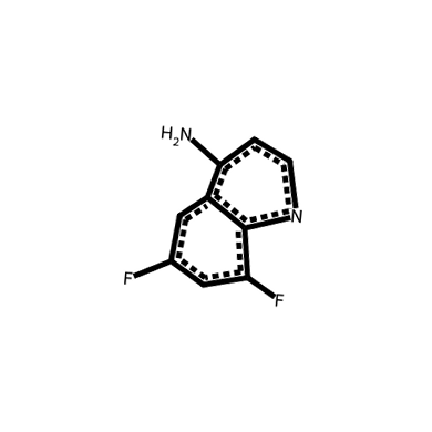 Nc1ccnc2c(F)cc(F)cc12